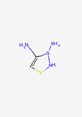 NC1=CSNN1N